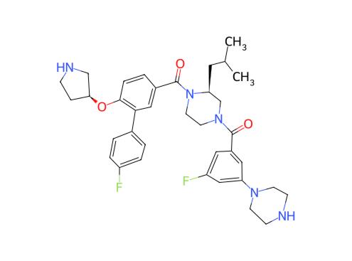 CC(C)C[C@H]1CN(C(=O)c2cc(F)cc(N3CCNCC3)c2)CCN1C(=O)c1ccc(O[C@H]2CCNC2)c(-c2ccc(F)cc2)c1